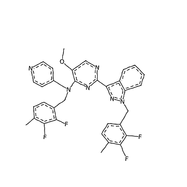 COc1cnc(-c2nn(Cc3ccc(C)c(F)c3F)c3ccccc23)nc1N(Cc1ccc(C)c(F)c1F)c1ccncc1